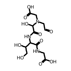 O=CCN(CC(=O)O)C(O)C(=O)NC(C(=O)NCC(=O)O)C(O)CO